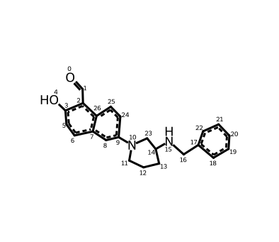 O=Cc1c(O)ccc2cc(N3CCCC(NCc4ccccc4)C3)ccc12